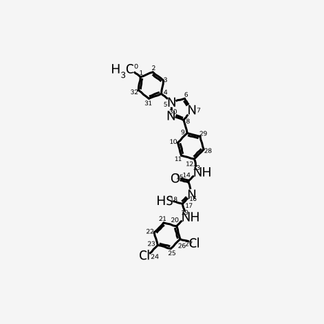 Cc1ccc(-n2cnc(-c3ccc(NC(=O)/N=C(\S)Nc4ccc(Cl)cc4Cl)cc3)n2)cc1